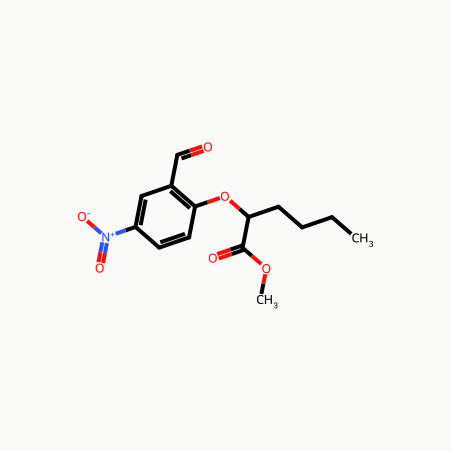 CCCCC(Oc1ccc([N+](=O)[O-])cc1C=O)C(=O)OC